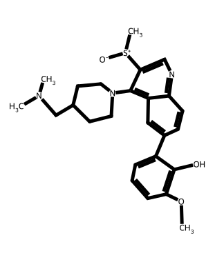 COc1cccc(-c2ccc3ncc([S+](C)[O-])c(N4CCC(CN(C)C)CC4)c3c2)c1O